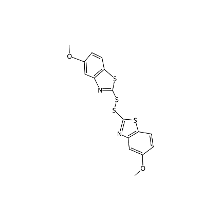 COc1ccc2sc(SSc3nc4cc(OC)ccc4s3)nc2c1